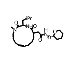 CC(C)CC1NC(=O)C(CC(=O)NO[C@H]2CCCCO2)CCCC=CCCCN(C)C1=O